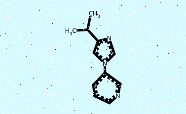 CC(C)c1cn(-c2cccnc2)cn1